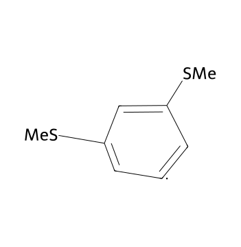 CSc1c[c]cc(SC)c1